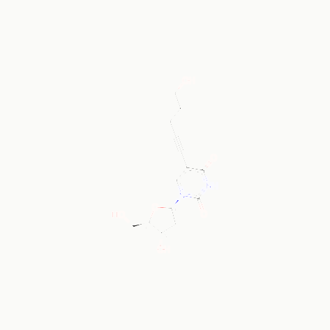 O=c1[nH]c(=O)n([C@H]2C[C@H](O)[C@@H](CO)O2)cc1C#CCCCO